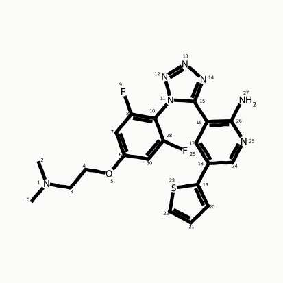 CN(C)CCOc1cc(F)c(-n2nnnc2-c2cc(-c3cccs3)cnc2N)c(F)c1